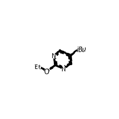 CCOc1ncc(C(C)CC)cn1